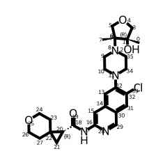 C[C@]1(O)COC[C@@]1(C)N1CCN(c2cc3cc(NC(=O)[C@@H]4CC45CCOCC5)ncc3cc2Cl)CC1